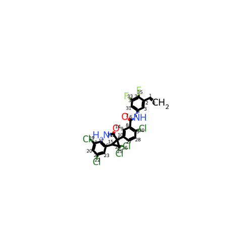 C=Cc1cc(NC(=O)c2cc(C3(C(N)=O)C(c4cc(Cl)cc(Cl)c4)C3(Cl)Cl)ccc2Cl)cc(F)c1F